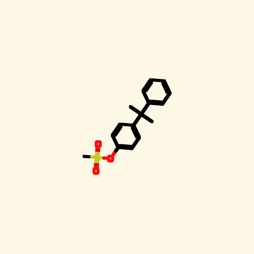 CC(C)(c1ccccc1)c1ccc(OS(C)(=O)=O)cc1